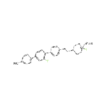 CCCCC[Si]1(F)CCC(CCc2ccc(-c3ccc(-c4ccc(C#N)cc4)cc3F)cc2)CC1